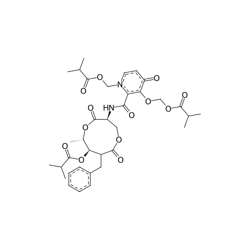 CC(C)C(=O)OCOc1c(C(=O)N[C@H]2COC(=O)C(Cc3ccccc3)[C@@H](OC(=O)C(C)C)[C@H](C)OC2=O)n(COC(=O)C(C)C)ccc1=O